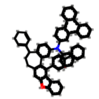 C1=CC(C2CCc3cc4oc5ccccc5c4c(-c4ccc(-c5ccccc5)cc4)c3-c3cc(N(c4ccccc4)c4ccc5c6ccccc6c6ccccc6c5c4)ccc32)=CCC1